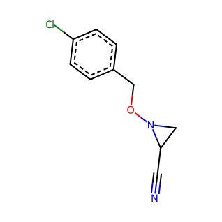 N#CC1CN1OCc1ccc(Cl)cc1